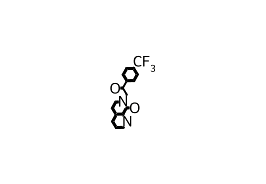 O=C(Cn1ccc2cccnc2c1=O)c1ccc(C(F)(F)F)cc1